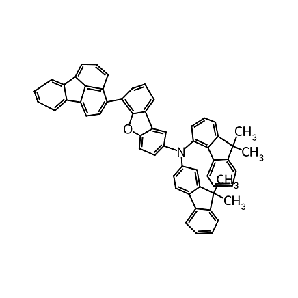 CC1(C)c2ccccc2-c2ccc(N(c3ccc4oc5c(-c6ccc7c8c(cccc68)-c6ccccc6-7)cccc5c4c3)c3cccc4c3-c3ccccc3C4(C)C)cc21